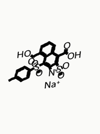 Cc1ccc(S(=O)(=O)c2c3c(c(C(=O)O)c4cccc(C(=O)O)c24)S(=O)(=O)[N-]3)cc1.[Na+]